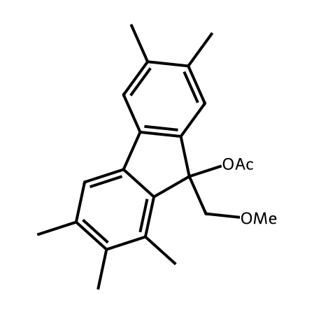 COCC1(OC(C)=O)c2cc(C)c(C)cc2-c2cc(C)c(C)c(C)c21